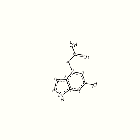 O=C(O)Cc1cc(Cl)cc2[nH]ccc12